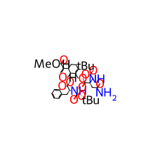 COC(=O)C1=CO[C@@H](OC(=O)[C@H](Cc2ccccc2)NC(=O)OC(C)(C)C)[C@@H]2C(COC(=O)[C@H](CC(N)=O)NC(=O)OC(C)(C)C)=CCC[C@H]12